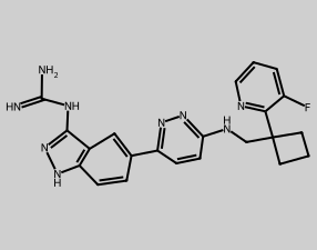 N=C(N)Nc1n[nH]c2ccc(-c3ccc(NCC4(c5ncccc5F)CCC4)nn3)cc12